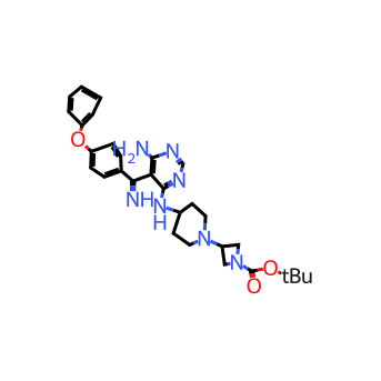 CC(C)(C)OC(=O)N1CC(N2CCC(Nc3ncnc(N)c3C(=N)c3ccc(Oc4ccccc4)cc3)CC2)C1